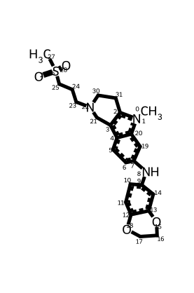 Cn1c2c(c3ccc(Nc4ccc5c(c4)OCCO5)cc31)CN(CCCS(C)(=O)=O)CC2